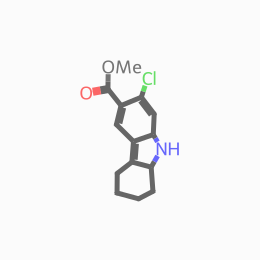 COC(=O)C1=CC2=C3CCCCC3NC2C=C1Cl